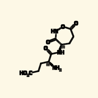 N[C@@H](CCC(=O)O)C(=O)N[C@@H]1CCC(=O)ONC1=O